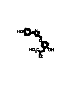 CCC(Cc1cc(OCc2cc(-c3ccc(O)cc3)no2)ccc1O)C(=O)O